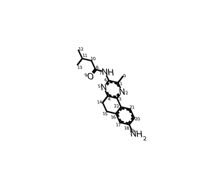 Cc1nc2c(nc1NC(=O)CC(C)C)CCc1cc(N)ccc1-2